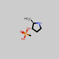 CP(=O)(O)O.O=C(O)[C@@H]1CCCN1